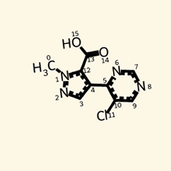 Cn1ncc(-c2ncncc2Cl)c1C(=O)O